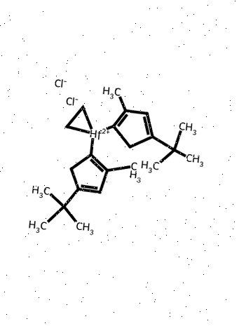 CC1=[C]([Hf+2]2([C]3=C(C)C=C(C(C)(C)C)C3)[CH2][CH2]2)CC(C(C)(C)C)=C1.[Cl-].[Cl-]